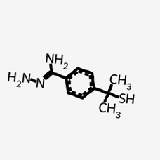 CC(C)(S)c1ccc(/C(N)=N/N)cc1